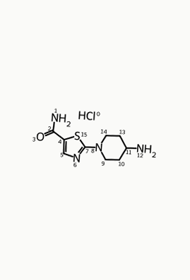 Cl.NC(=O)c1cnc(N2CCC(N)CC2)s1